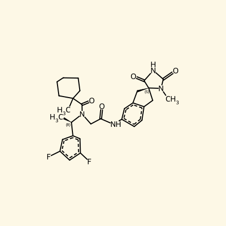 C[C@H](c1cc(F)cc(F)c1)N(CC(=O)Nc1ccc2c(c1)C[C@@]1(C2)C(=O)NC(=O)N1C)C(=O)C1(C)CCCCC1